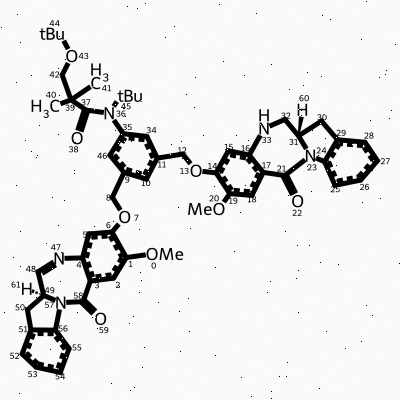 COc1cc2c(cc1OCc1cc(COc3cc4c(cc3OC)C(=O)N3c5ccccc5C[C@H]3CN4)cc(N(C(=O)C(C)(C)COC(C)(C)C)C(C)(C)C)c1)N=C[C@@H]1Cc3ccccc3N1C2=O